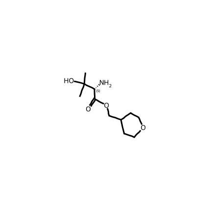 CC(C)(O)[C@H](N)C(=O)OCC1CCOCC1